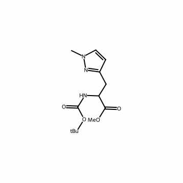 COC(=O)C(Cc1ccn(C)n1)NC(=O)OC(C)(C)C